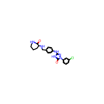 O=C1NCCCCC1NCc1ccc(Nc2nn(-c3cccc(Cl)c3)c(=O)[nH]2)cc1